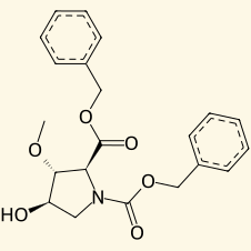 CO[C@H]1[C@H](O)CN(C(=O)OCc2ccccc2)[C@@H]1C(=O)OCc1ccccc1